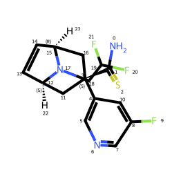 NC(=S)[C@@]1(c2cncc(F)c2)C[C@H]2C=C[C@@H](C1)N2CC(F)F